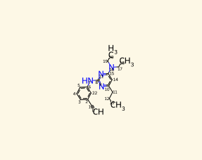 C#Cc1cccc(Nc2nc(CCC)cc(N(CC)CC)n2)c1